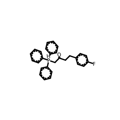 O=C(CCc1ccc(F)cc1)C[PH](c1ccccc1)(c1ccccc1)c1ccccc1